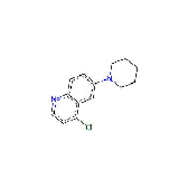 Clc1ccnc2ccc(N3CCCCC3)cc12